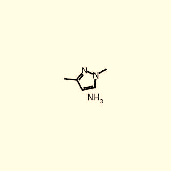 Cc1ccn(C)n1.N